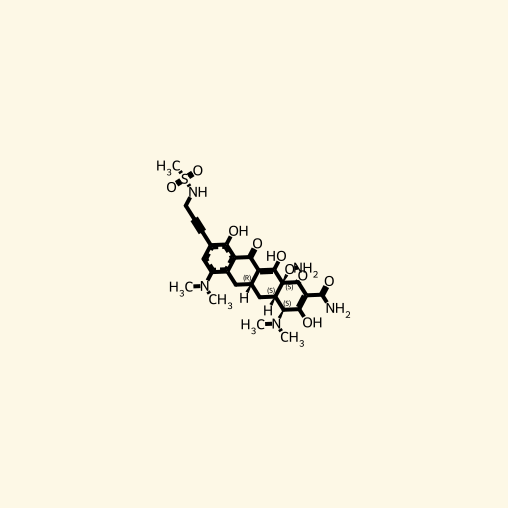 CN(C)c1cc(C#CCNS(C)(=O)=O)c(O)c2c1C[C@H]1C[C@H]3[C@H](N(C)C)C(O)=C(C(N)=O)C(=O)[C@@]3(ON)C(O)=C1C2=O